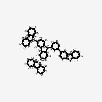 c1cc(-c2ccc3sc4ccccc4c3c2)cc(C2c3ccc(-n4c5ccccc5c5ccccc54)cc3-c3cc(-n4c5ccccc5c5ccccc54)ccc32)c1